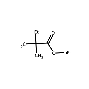 CCCOC(=O)C(C)(C)CC